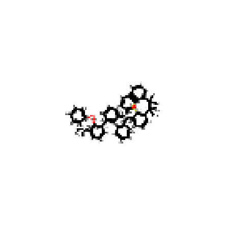 CC1(C)c2ccccc2Sc2c(cccc2[Si](c2ccccc2)(c2ccccc2)c2cccc(-c3cccc4c3Oc3ccccc3[Si]4(C)C)c2)C1(C)C